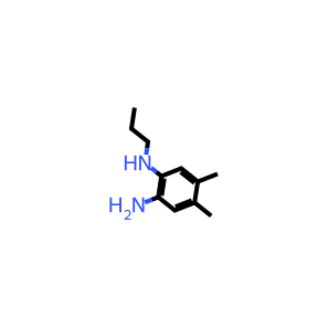 CCCNc1cc(C)c(C)cc1N